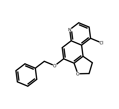 Clc1ccnc2cc(OCc3ccccc3)c3c(c12)CCO3